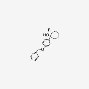 O[C@@]1(c2ccc(OCc3ccccc3)cc2)CCCC[C@H]1F